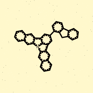 c1ccc2c(c1)Cc1c(-c3cc4c5cc6ccccc6cc5n5c6cc7ccccc7cc6c(c3)c45)cccc1-2